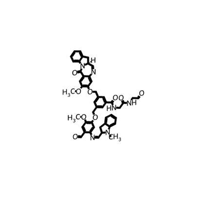 COc1cc2c(cc1OCc1cc(COc3cc(/N=C\C4Cc5ccccc5N4C)c(C=O)cc3OC)cc(C(=O)NCC(=O)NCC=O)c1)N=C[C@@H]1Cc3ccccc3N1C2=O